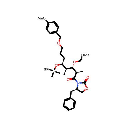 COCO[C@@H]([C@@H](C)[C@H](CCCOCc1ccc(OC)cc1)O[Si](C)(C)C(C)(C)C)[C@@H](C)C(=O)N1C(=O)OC[C@H]1Cc1ccccc1